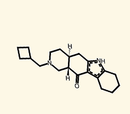 O=C1c2c([nH]c3c2CCCC3)C[C@@H]2CCN(CC3CCC3)C[C@@H]12